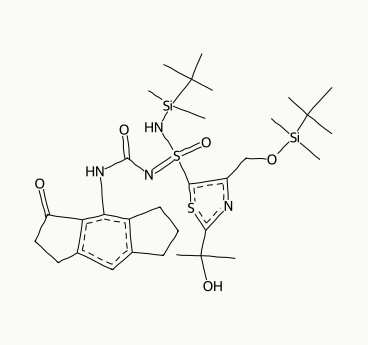 CC(C)(O)c1nc(CO[Si](C)(C)C(C)(C)C)c(S(=O)(=NC(=O)Nc2c3c(cc4c2C(=O)CC4)CCC3)N[Si](C)(C)C(C)(C)C)s1